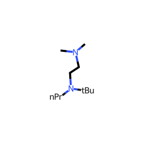 CCCN(CCN(C)C)C(C)(C)C